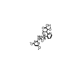 COc1cc(OC)nc(NC(=O)NS(=O)(=O)c2cccnc2C(C(C)F)C(OC)C(=O)O)n1